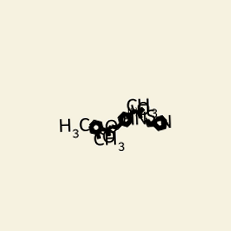 Cc1ccc(C(=O)OCc2ccc([C@@H](C)C(=O)Nc3cc4ccncc4s3)cc2)c(C)c1